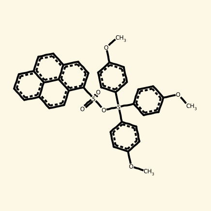 COc1ccc(S(OS(=O)(=O)c2ccc3ccc4cccc5ccc2c3c45)(c2ccc(OC)cc2)c2ccc(OC)cc2)cc1